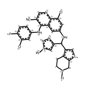 CCN1CCc2c(C(Nc3cc(Cl)c4ncc(C#N)c(Nc5ccc(F)c(Cl)c5)c4c3)c3cn(C(C)C)nn3)csc2C1